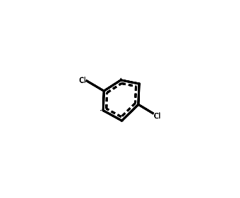 Clc1[c]cc(Cl)c[c]1